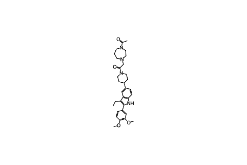 CCc1c(-c2ccc(OC)c(OC)c2)[nH]c2ccc(C3CCN(C(=O)CN4CCCN(C(C)=O)CC4)CC3)cc12